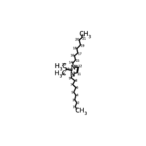 CCCCCCCCCCn1cc[n+](CCCCCCCCC)c1C(C)C